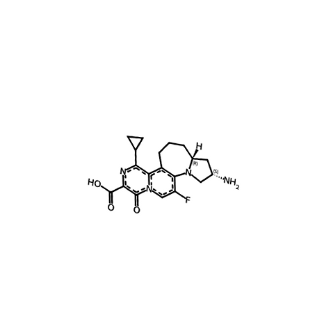 N[C@H]1C[C@H]2CCCc3c(c(F)cn4c(=O)c(C(=O)O)nc(C5CC5)c34)N2C1